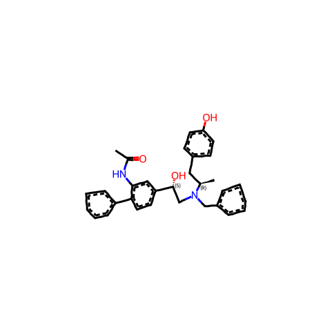 CC(=O)Nc1cc([C@H](O)CN(Cc2ccccc2)[C@H](C)Cc2ccc(O)cc2)ccc1-c1ccccc1